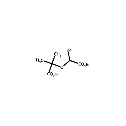 CCOC(=O)C(OC(C)(C)C(=O)O)C(C)C